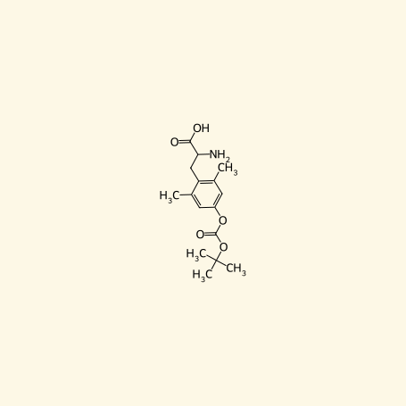 Cc1cc(OC(=O)OC(C)(C)C)cc(C)c1CC(N)C(=O)O